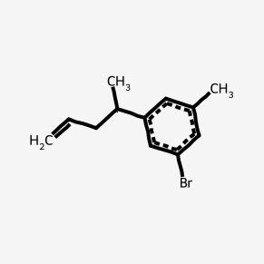 C=CC[C](C)c1cc(C)cc(Br)c1